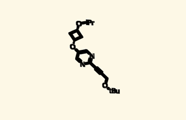 CC(C)O[C@H]1C[C@H](Oc2cnc(C#CCOC(C)(C)C)nc2)C1